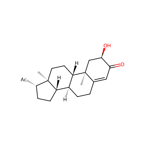 CC(=O)[C@H]1CC[C@H]2[C@@H]3CCC4=CC(=O)[C@H](O)C[C@]4(C)[C@H]3CC[C@]12C